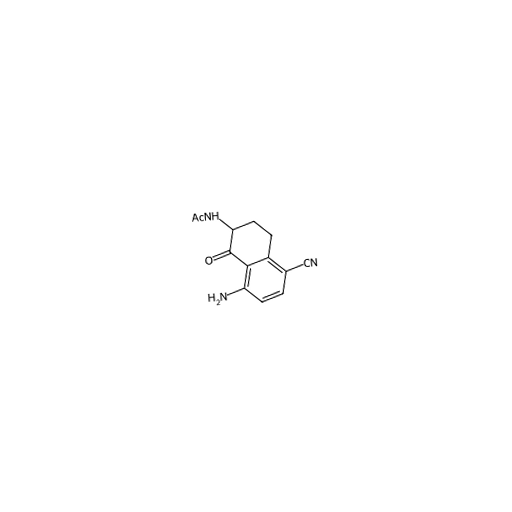 CC(=O)NC1CCc2c(C#N)ccc(N)c2C1=O